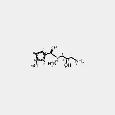 NC[C@@H](O)CN(N)C(=O)c1ccc(Cl)s1